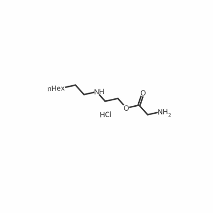 CCCCCCCCNCCOC(=O)CN.Cl